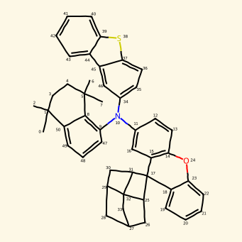 CC1(C)CCC(C)(C)c2c(N(c3ccc4c(c3)C3(c5ccccc5O4)C4CC5CC6CC3C64C5)c3ccc4sc5ccccc5c4c3)cccc21